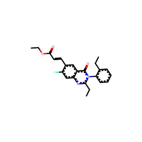 CCOC(=O)/C=C/c1cc2c(=O)n(-c3ccccc3CC)c(CC)nc2cc1F